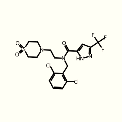 O=C(c1cc(C(F)(F)F)n[nH]1)N(CCN1CCS(=O)(=O)CC1)Cc1c(Cl)cccc1Cl